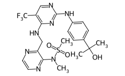 CN(c1nccnc1CNc1nc(Nc2ccc(C(C)(C)O)cc2)ncc1C(F)(F)F)S(C)(=O)=O